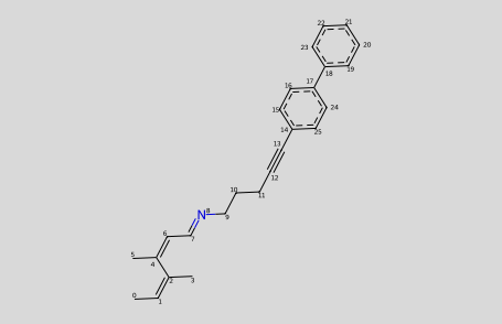 C\C=C(C)/C(C)=C\C=N\CCCC#Cc1ccc(-c2ccccc2)cc1